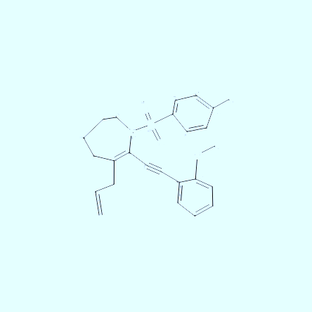 C=CCC1=C(C#Cc2ccccc2OC)N(S(=O)(=O)c2ccc(C)cc2)CCCC1